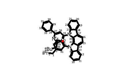 CC(C)Cc1cccc(-n2c3ccccc3c3ccc4c5ccccc5n(-c5cc(-c6ccccc6)nc(CC(C)(C)C)n5)c4c32)c1